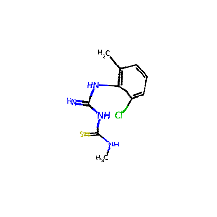 CNC(=S)NC(=N)Nc1c(C)cccc1Cl